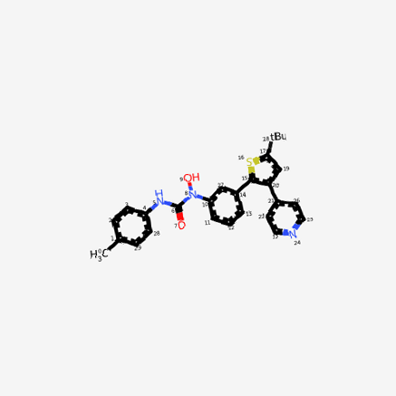 Cc1ccc(NC(=O)N(O)c2cccc(-c3sc(C(C)(C)C)cc3-c3ccncc3)c2)cc1